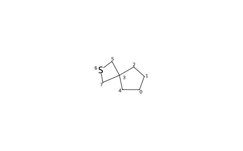 C1CCC2(C1)CSC2